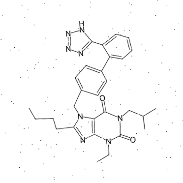 CCCCc1nc2c(c(=O)n(CC(C)C)c(=O)n2CC)n1Cc1ccc(-c2ccccc2-c2nnn[nH]2)cc1